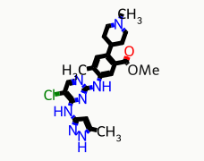 COC(=O)c1cc(Nc2ncc(Cl)c(Nc3cc(C)[nH]n3)n2)c(C)cc1C1CCN(C)CC1